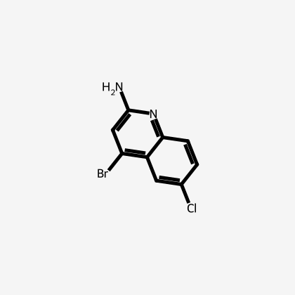 Nc1cc(Br)c2cc(Cl)ccc2n1